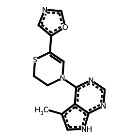 Cc1c[nH]c2ncnc(N3C=C(c4cnco4)SCC3)c12